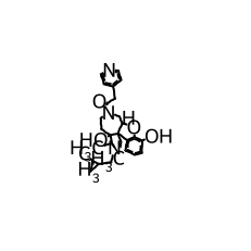 Cc1ccc(O)c2c1C13CCN(CC4CC4C)C(C)C1(O)CCN(C(=O)Cc1ccncc1)C[C@@H]3O2